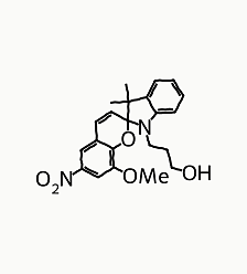 COc1cc([N+](=O)[O-])cc2c1OC1(C=C2)N(CCCO)c2ccccc2C1(C)C